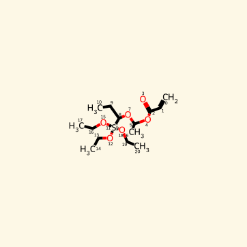 C=CC(=O)OC(C)OC(CC)[Si](OCC)(OCC)OCC